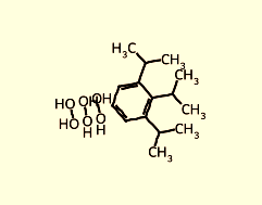 CC(C)c1cccc(C(C)C)c1C(C)C.OO.OO.OO